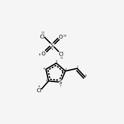 C=Cc1ccc(Cl)s1.O=S(=O)(Cl)Cl